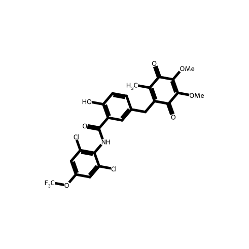 COC1=C(OC)C(=O)C(Cc2ccc(O)c(C(=O)Nc3c(Cl)cc(OC(F)(F)F)cc3Cl)c2)=C(C)C1=O